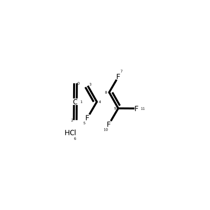 C=C=C.C=CF.Cl.FC=C(F)F